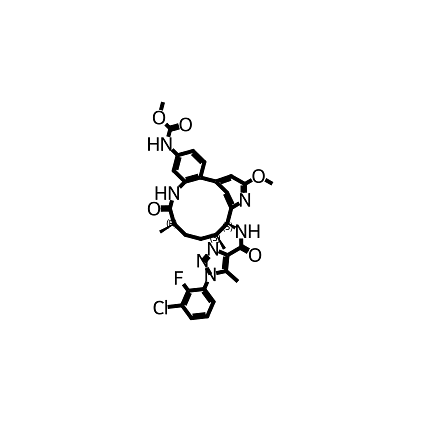 COC(=O)Nc1ccc2c(c1)NC(=O)[C@H](C)CC[C@H](C)[C@H](NC(=O)c1nnn(-c3cccc(Cl)c3F)c1C)c1cc-2cc(OC)n1